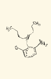 Bc1cccc(Cl)c1N(CCC)CCC